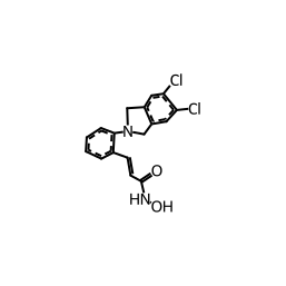 O=C(C=Cc1ccccc1N1Cc2cc(Cl)c(Cl)cc2C1)NO